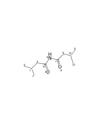 CC(C)CC(=O)NC(=O)CC(C)C